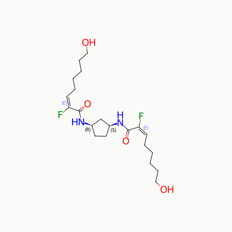 O=C(N[C@@H]1CC[C@H](NC(=O)/C(F)=C\CCCCCO)C1)/C(F)=C\CCCCCO